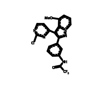 COc1cccn2nc(-c3cccc(NC(=O)C(F)(F)F)c3)c(-c3ccnc(Cl)n3)c12